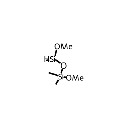 CO[SiH](C)O[Si](C)(C)OC